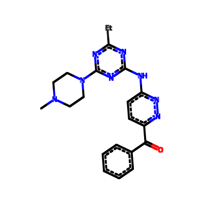 CCc1nc(Nc2ccc(C(=O)c3ccccc3)nn2)nc(N2CCN(C)CC2)n1